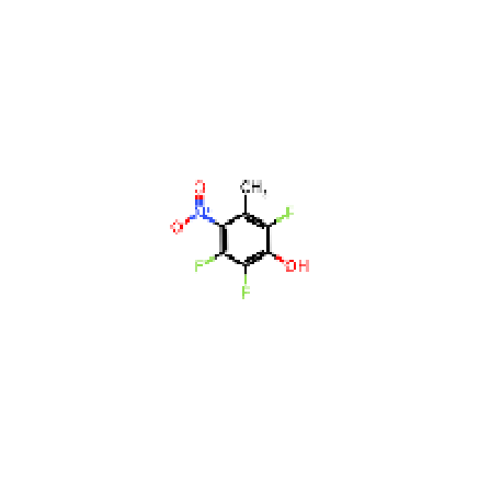 Cc1c(F)c(O)c(F)c(F)c1[N+](=O)[O-]